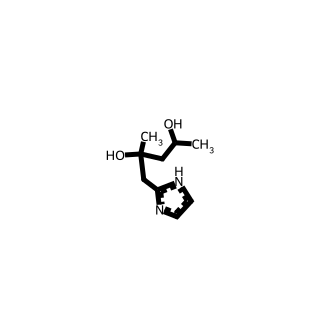 CC(O)CC(C)(O)Cc1ncc[nH]1